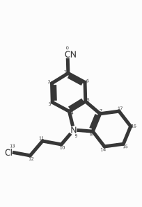 N#Cc1ccc2c(c1)c1c(n2CCCCl)CCCC1